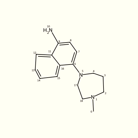 CN1CCCN(c2ccc(N)c3ccccc23)CC1